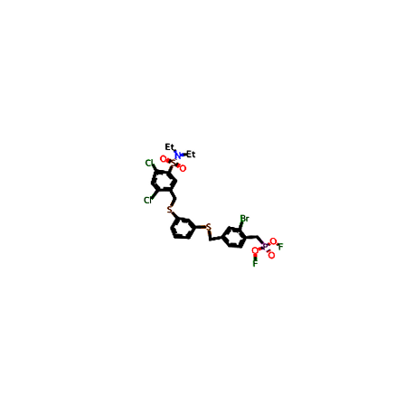 CCN(CC)S(=O)(=O)c1cc(CSc2cccc(SCc3ccc(CP(=O)(OF)OF)c(Br)c3)c2)c(Cl)cc1Cl